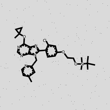 Cc1ccnc(Cn2c(-c3ccc(OCCO[Si](C)(C)C(C)(C)C)cc3Cl)nc3c(OC4(C)CC4)ncnc32)c1